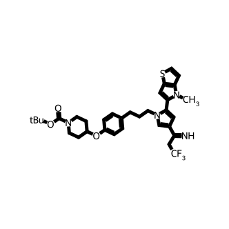 Cn1c(-c2cc(C(=N)CC(F)(F)F)cn2CCCc2ccc(OC3CCN(C(=O)OC(C)(C)C)CC3)cc2)cc2sccc21